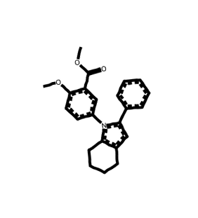 COC(=O)c1cc(-n2c(-c3ccccc3)cc3c2CCCC3)ccc1OC